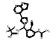 CC(=O)Nc1cccc(C(C)n2cc(-c3ncnc4[nH]ccc34)cn2)c1C#N.O=C(O)C(F)(F)F